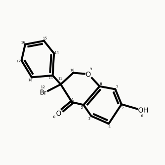 O=C1c2ccc(O)cc2OCC1(Br)c1ccccc1